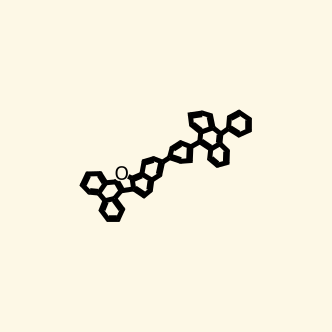 c1ccc(-c2c3ccccc3c(-c3ccc(-c4ccc5c(ccc6c5oc5c7ccccc7c7ccccc7c65)c4)cc3)c3ccccc23)cc1